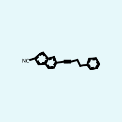 N#Cc1ccc2cc(C#CCCc3ccccc3)ccc2c1